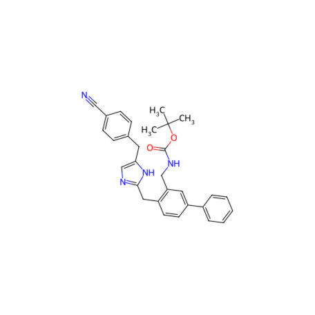 CC(C)(C)OC(=O)NCc1cc(-c2ccccc2)ccc1Cc1ncc(Cc2ccc(C#N)cc2)[nH]1